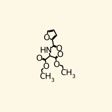 CCOC(=O)C(NC(=O)c1ccco1)C(=O)OCC